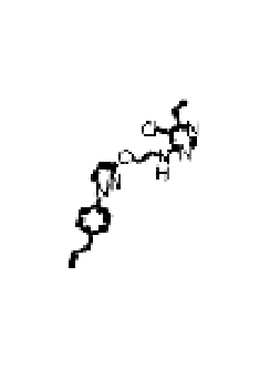 C=CCc1ccc(-n2ccc(OCCNc3ncnc(CC)c3Cl)n2)cc1